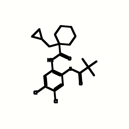 CC(C)(C)C(=O)Sc1cc(Cl)c(Cl)cc1NC(=O)C1(CC2CC2)CCCCC1